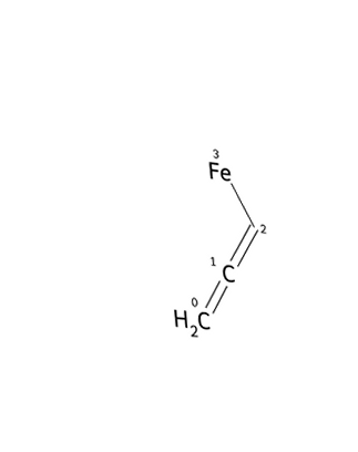 C=C=[CH][Fe]